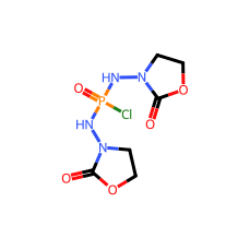 O=C1OCCN1NP(=O)(Cl)NN1CCOC1=O